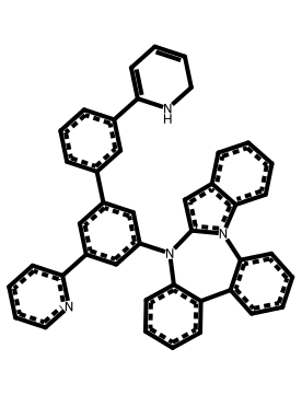 C1=CCNC(c2cccc(-c3cc(-c4ccccn4)cc(N4c5ccccc5-c5ccccc5-n5c4cc4ccccc45)c3)c2)=C1